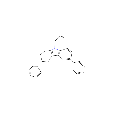 CCn1c2c(c3cc(-c4ccccc4)ccc31)CC(c1ccccc1)CC2